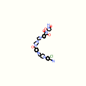 N#Cc1ccc(N2CCC3(CC2)CCN(c2ccc(C(=O)N4CCN(C5CCN(c6ccc7c(c6)C(=O)N(C6CCC(=O)NC6=O)C7=O)C5)CC4)cc2)C3)cc1Cl